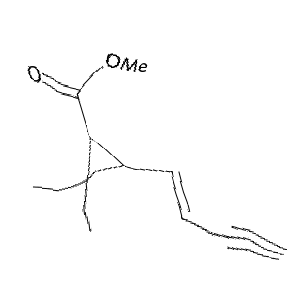 C#C/C=C/C1C(C(=O)OC)C1(C)C